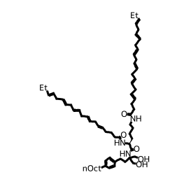 CCC=CCC=CCC=CCC=CCC=CCC=CCCC(=O)NCCCC[C@H](NC(=O)CCCC=CCC=CCC=CCC=CCC=CCC)C(=O)NC(CO)(CO)CCc1ccc(CCCCCCCC)cc1